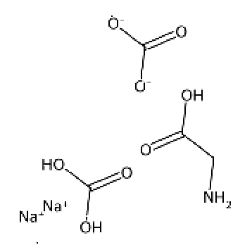 NCC(=O)O.O=C(O)O.O=C([O-])[O-].[Na+].[Na+]